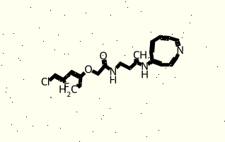 C=C/C(=C\C(F)=C\Cl)OCC(=O)NCCC(=C)Nc1cccccnccc1